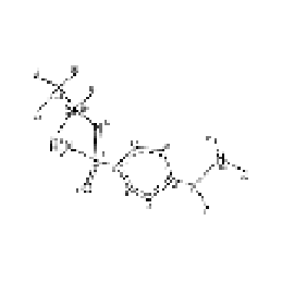 CC(c1ccc(S(N)(=O)=N[Si](C)(C)C(C)(C)C)cc1)N(C)C